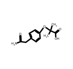 CC(C)(Oc1ccc(CC(N)=O)cc1)C(=O)O